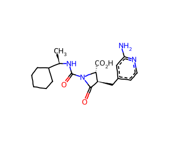 C[C@@H](NC(=O)N1C(=O)[C@H](Cc2ccnc(N)c2)[C@H]1C(=O)O)C1CCCCC1